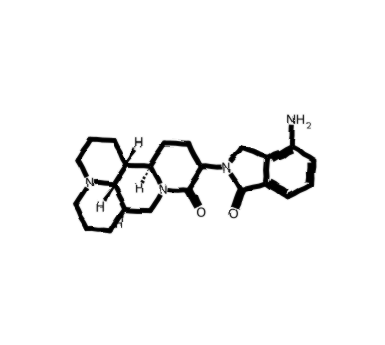 Nc1cccc2c1CN(C1CC[C@@H]3[C@H]4CCCN5CCC[C@H](CN3C1=O)[C@@H]45)C2=O